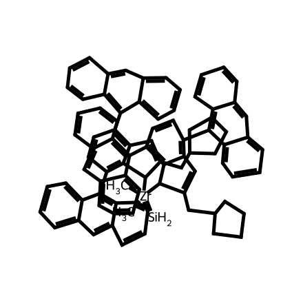 [CH3][Zr]([CH3])(=[SiH2])([CH]1C(CC2CCCC2)=Cc2c(-c3c4ccccc4cc4ccccc34)ccc(-c3c4ccccc4cc4ccccc34)c21)[CH]1C(CC2CCCC2)=Cc2c(-c3c4ccccc4cc4ccccc34)ccc(-c3c4ccccc4cc4ccccc34)c21